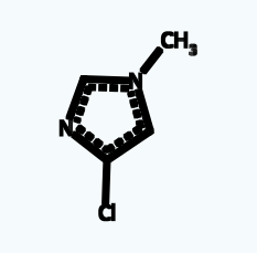 Cn1cnc(Cl)c1